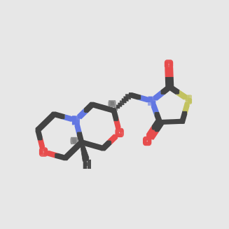 O=C1CSC(=O)N1C[C@H]1CN2CCOC[C@H]2CO1